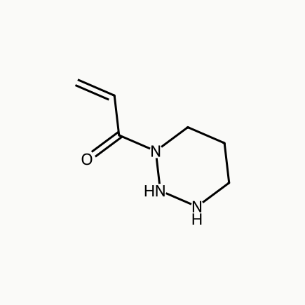 C=CC(=O)N1CCCNN1